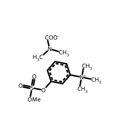 CN(C)C(=O)[O-].COS(=O)(=O)Oc1cccc([N+](C)(C)C)c1